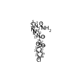 NC(=O)Cn1ccsc1=NN1CCN(C(=O)CCS(=O)(=O)c2ccc3cc(Cl)ccc3c2)CC1